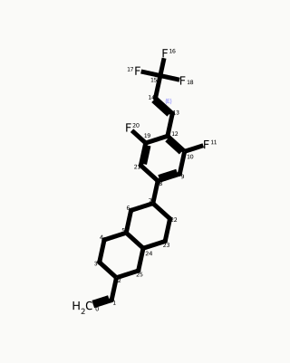 C=CC1CCC2CC(c3cc(F)c(/C=C/C(F)(F)F)c(F)c3)CCC2C1